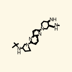 CN/C=C1/CN(c2ccc3nc(N4CCC(NC(C)(C)C)C4)ccc3n2)CCC1=N